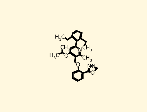 CCc1cccc(CC)c1-c1cc(OC(C)C)c(COc2ccccc2-c2nnco2)c(C)n1